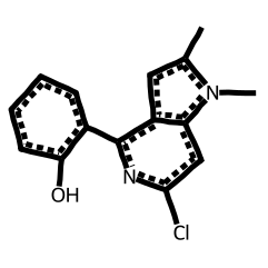 Cc1cc2c(-c3ccccc3O)nc(Cl)cc2n1C